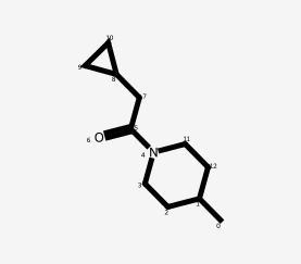 CC1CCN(C(=O)CC2CC2)CC1